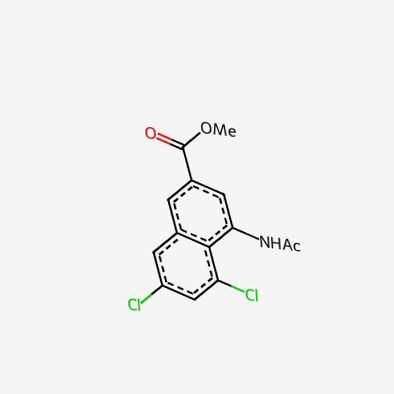 COC(=O)c1cc(NC(C)=O)c2c(Cl)cc(Cl)cc2c1